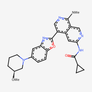 CNc1ncc(-c2nc3cc(N4CCC[C@H](OC)C4)ccc3o2)c2cc(NC(=O)C3CC3)ncc12